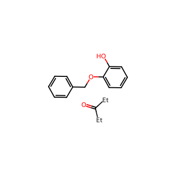 CCC(=O)CC.Oc1ccccc1OCc1ccccc1